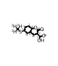 [2H]C([2H])([2H])Sc1ccc2oc(=O)c(C(=O)O)cc2c1